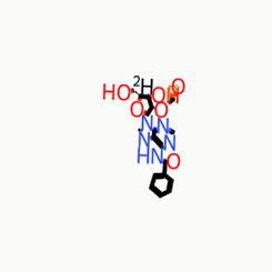 [2H][C@@]1(O)[C@@H](CO)O[C@@H](n2cnc3c(NC(=O)c4ccccc4)ncnc32)[C@@H]1OC#P=O